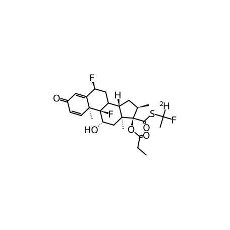 [2H]C(C)(F)SC(=O)[C@@]1(OC(=O)CC)[C@H](C)C[C@H]2C3C[C@H](F)C4=CC(=O)C=C[C@]4(C)[C@@]3(F)[C@@H](O)C[C@@]21C